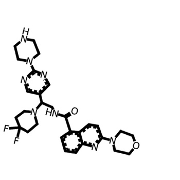 O=C(NCC(c1cnc(N2CCNCC2)nc1)N1CCC(F)(F)CC1)c1cccc2nc(N3CCOCC3)ccc12